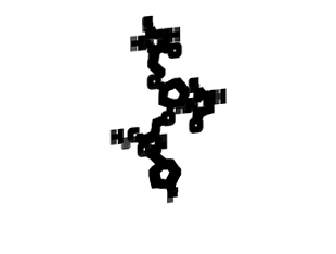 Cc1oc(-c2ccc(F)cc2)nc1CO[C@@H]1CCC[C@H](OCC=C2NC(=S)NC2=O)C1.O=C1CNC(=S)N1